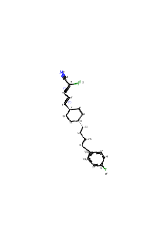 N#C/C(F)=C/C=C/[C@H]1CC[C@H](CCCCc2ccc(F)cc2)CC1